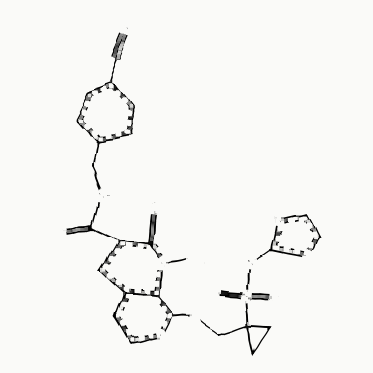 Cn1c(=O)c(C(=O)NCc2ccc(C#N)cc2)cc2ccnc(OCC3(S(=O)(=O)Nc4nccs4)CC3)c21